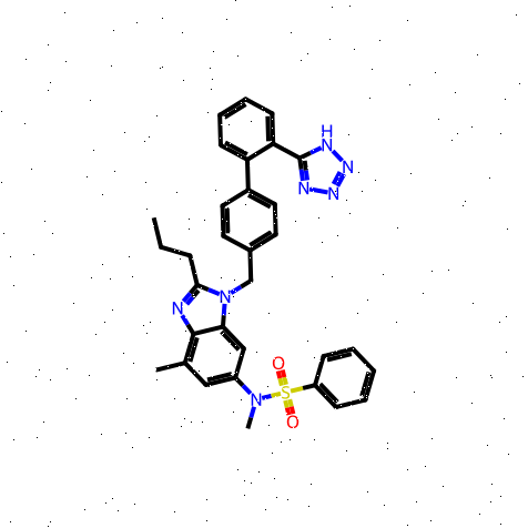 CCCc1nc2c(C)cc(N(C)S(=O)(=O)c3ccccc3)cc2n1Cc1ccc(-c2ccccc2-c2nnn[nH]2)cc1